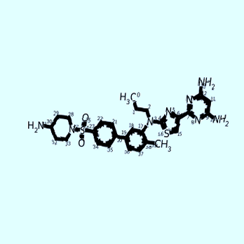 CCCN(c1nc(-c2nc(N)cc(N)n2)cs1)c1cc(-c2ccc(S(=O)(=O)N3CCC(N)CC3)cc2)ccc1C